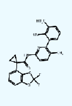 Cc1ccc(NC(=O)C2(c3cccc4c3OC(F)(F)O4)CC2)nc1-c1cccc(C(=O)O)c1C(C)(C)C